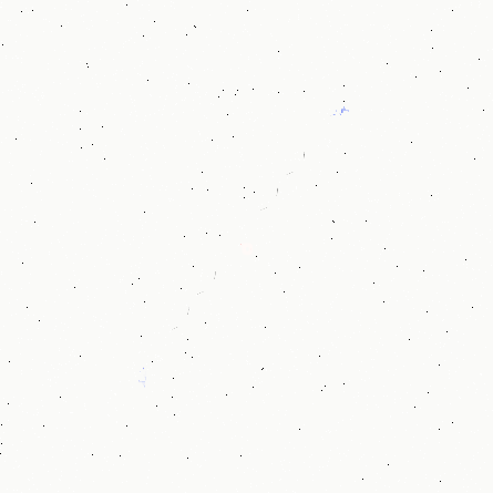 [N-]=[N+]=CCCCCCC=CCC=CCC=CCC=CCCCCC(=O)CCCCC=CCC=CCC=CCC=CCCCCCC=[N+]=[N-]